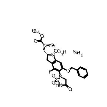 CCCN(C[C@H]1Cc2c(cc(OCc3ccccc3)c(N3CC(=O)NS3(=O)=O)c2F)N1C(=O)O)C(=O)OC(C)(C)C.N